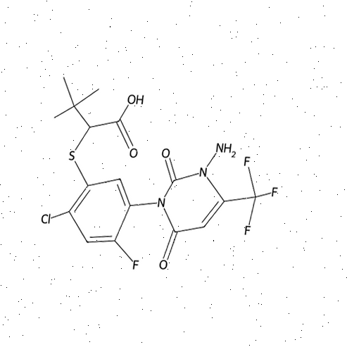 CC(C)(C)C(Sc1cc(-n2c(=O)cc(C(F)(F)F)n(N)c2=O)c(F)cc1Cl)C(=O)O